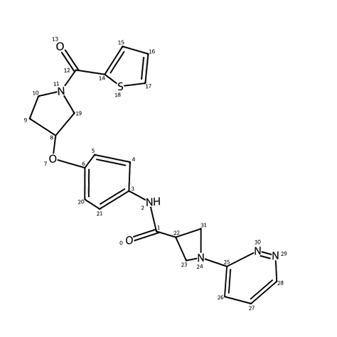 O=C(Nc1ccc(OC2CCN(C(=O)c3cccs3)C2)cc1)C1CN(c2cccnn2)C1